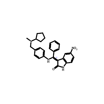 CN(Cc1ccc(N/C(=C2\C(=O)Nc3ccc([N+](=O)[O-])cc32)c2ccccc2)cc1)C1CCCC1